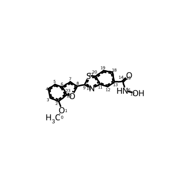 COc1cccc2cc(-c3nc4cc(C(=O)NO)ccc4s3)oc12